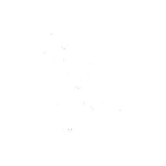 COc1ccc(C(=O)Nc2ccc(Cl)c(-c3csc(C)n3)c2)c(CNCCO)c1